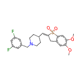 COc1cc2c(cc1OC)S(=O)(=O)/C(=C/C1CCN(Cc3cc(F)cc(F)c3)CC1)C2